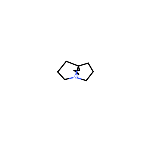 C1CC23CCC[N+]2(C1)CCC3